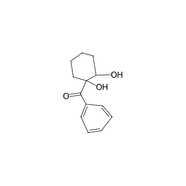 O=C(c1ccccc1)C1(O)CCCCC1O